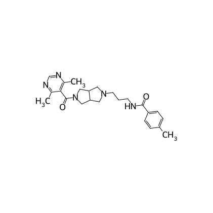 Cc1ccc(C(=O)NCCCN2CC3CN(C(=O)c4c(C)ncnc4C)CC3C2)cc1